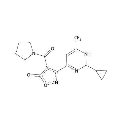 O=C(N1CCCC1)n1c(C2=NC(C3CC3)NC(C(F)(F)F)=C2)noc1=O